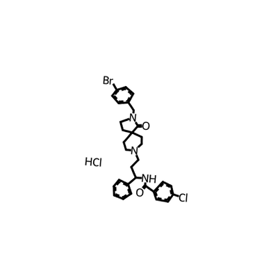 Cl.O=C(NC(CCN1CCC2(CC1)CCN(Cc1ccc(Br)cc1)C2=O)c1ccccc1)c1ccc(Cl)cc1